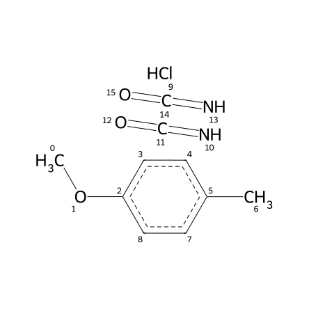 COc1ccc(C)cc1.Cl.N=C=O.N=C=O